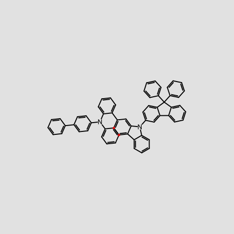 c1ccc(-c2ccc(N(c3ccccc3)c3ccccc3-c3ccc4c5ccccc5n(-c5ccc6c(c5)-c5ccccc5C6(c5ccccc5)c5ccccc5)c4c3)cc2)cc1